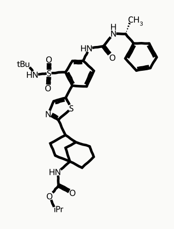 CC(C)OC(=O)NC12CCCC(C1)C(c1ncc(-c3ccc(NC(=O)N[C@H](C)c4ccccc4)cc3S(=O)(=O)NC(C)(C)C)s1)CC2